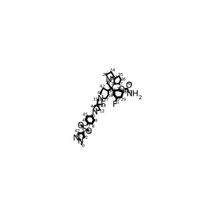 Cn1cc(S(=O)(=O)c2ccc(N3CC(F)(CN4CCC(C(CN5CCC5)(c5cccc(F)c5)[C@H]5CCC[C@@H]5OC(N)=O)CC4)C3)cc2)cn1